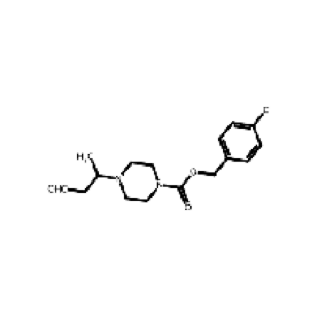 CC(C[C]=O)N1CCN(C(=O)OCc2ccc(Cl)cc2)CC1